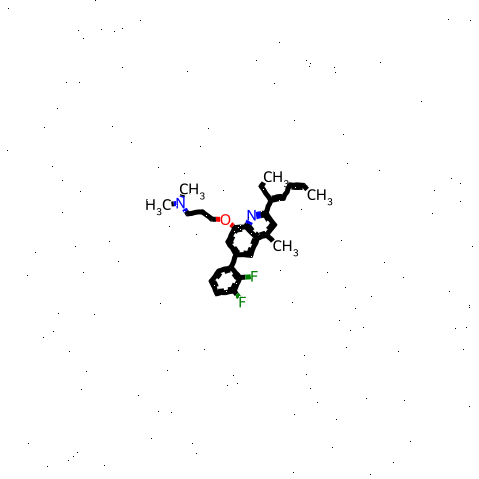 C/C=C\C=C(/CC)c1cc(C)c2cc(-c3cccc(F)c3F)cc(OCCCN(C)C)c2n1